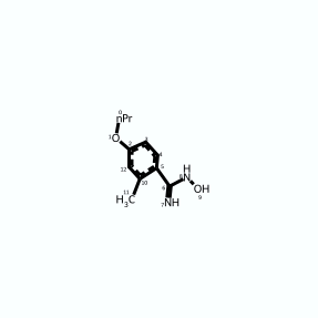 CCCOc1ccc(C(=N)NO)c(C)c1